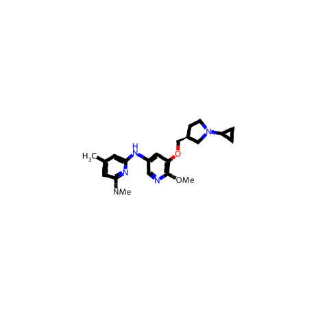 CNc1cc(C)cc(Nc2cnc(OC)c(OC[C@H]3CCN(C4CC4)C3)c2)n1